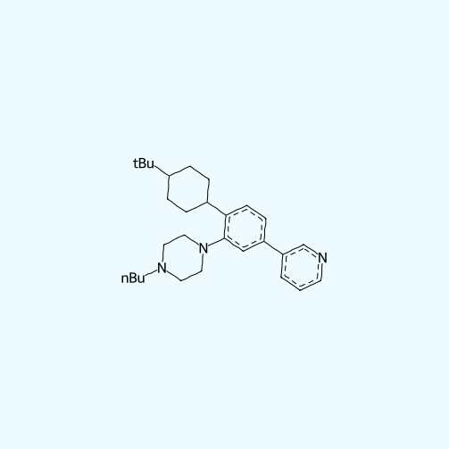 CCCCN1CCN(c2cc(-c3cccnc3)ccc2C2CCC(C(C)(C)C)CC2)CC1